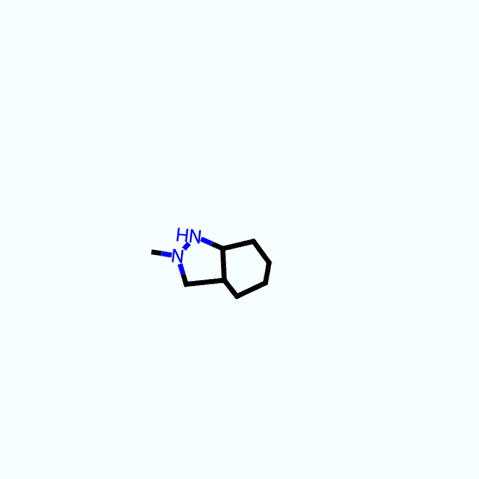 CN1CC2CCCCC2N1